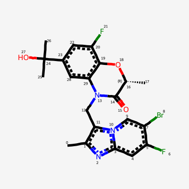 Cc1nc2cc(F)c(Br)cn2c1CN1C(=O)[C@@H](C)Oc2c(F)cc(C(C)(C)O)cc21